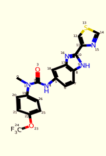 CN(C(=O)Nc1ccc2[nH]c(-c3cscn3)nc2c1)c1ccc(OC(F)(F)F)cc1